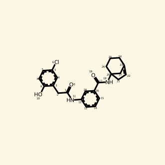 O=C(Cc1cc(Cl)ccc1O)Nc1cccc(C(=O)NC23CC=C(CCC2)C3)c1